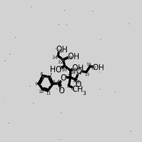 CCC(OC(=O)c1ccccc1)(C(=O)OCCO)C(O)C(O)C(O)CO